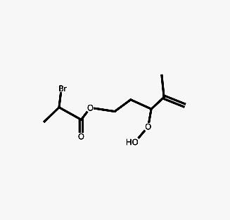 C=C(C)C(CCOC(=O)C(C)Br)OO